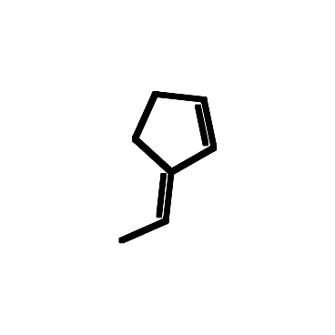 CC=C1C=CCC1